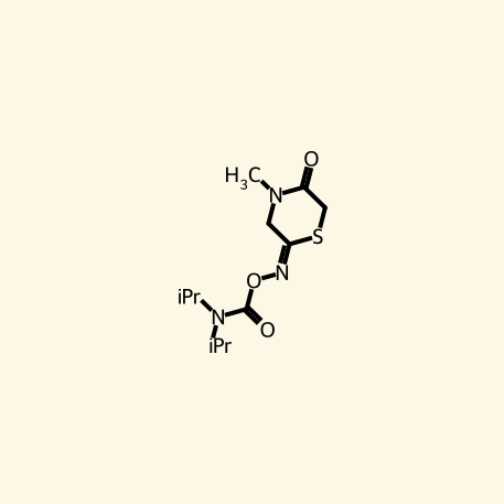 CC(C)N(C(=O)ON=C1CN(C)C(=O)CS1)C(C)C